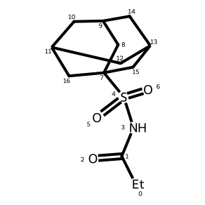 [CH2]CC(=O)NS(=O)(=O)C12CC3CC(CC(C3)C1)C2